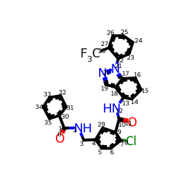 O=C(NCc1ccc(Cl)c(C(=O)Nc2cccc3c2cnn3-c2ccccc2C(F)(F)F)c1)c1ccccc1